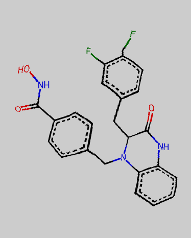 O=C(NO)c1ccc(CN2c3ccccc3NC(=O)C2Cc2ccc(F)c(F)c2)cc1